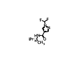 CC(C)[C@@H](C)NC(=O)c1cnn(C(F)F)c1